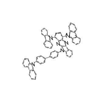 c1ccc2c(c1)c1ccccc1n2-c1ccc(-c2ccc(-n3c4ccccc4c4nc5c(-n6c7ccccc7c7ccccc76)ccc(-n6c7ccccc7c7ccccc76)c5nc43)cc2)cc1